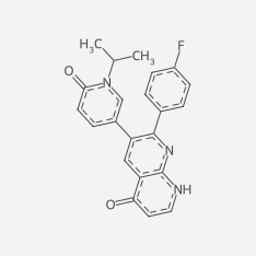 CC(C)n1cc(-c2cc3c(=O)cc[nH]c3nc2-c2ccc(F)cc2)ccc1=O